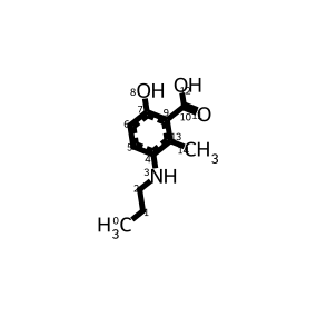 CCCNc1ccc(O)c(C(=O)O)c1C